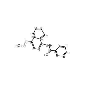 CCCCCCCCOc1ccc(NC(=O)c2ccccc2)c2ccccc12